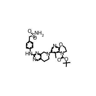 Cc1c(N2CCc3cnc(Nc4ccc(CS(N)(=O)=O)cc4)nc3C2)cnc2c1N(C(=O)OC(C)(C)C)CCO2